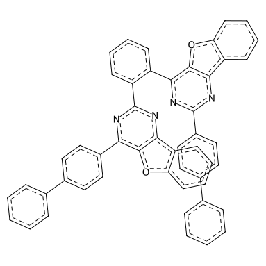 c1ccc(-c2ccc(-c3nc(-c4ccccc4-c4nc(-c5ccc(-c6ccccc6)cc5)c5oc6ccccc6c5n4)c4oc5ccccc5c4n3)cc2)cc1